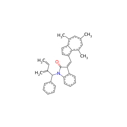 C=CC(=C)C(c1ccccc1)N1C(=O)/C(=C\c2ccc3c(C)cc(C)cc(C)c2-3)c2ccccc21